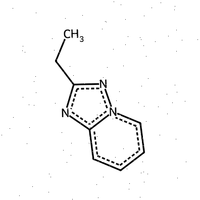 CCc1nc2ccccn2n1